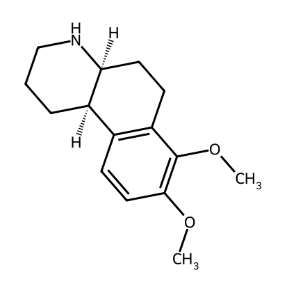 COc1ccc2c(c1OC)CC[C@@H]1NCCC[C@H]21